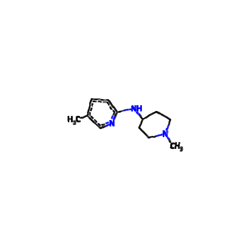 Cc1ccc(NC2CCN(C)CC2)nc1